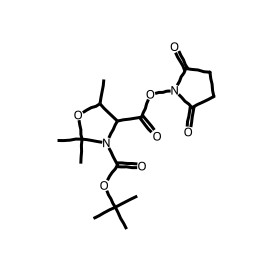 CC1OC(C)(C)N(C(=O)OC(C)(C)C)C1C(=O)ON1C(=O)CCC1=O